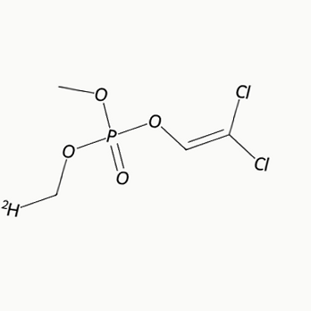 [2H]COP(=O)(OC)OC=C(Cl)Cl